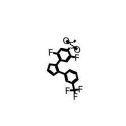 CS(=O)(=O)c1cc(F)c(C2=C(c3cccc(C(F)(F)F)c3)C=CC2)cc1F